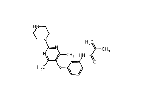 C=C(C)C(=O)Nc1cccc(Sc2c(C)nc(N3CCNCC3)nc2C)c1